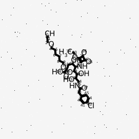 C#CCOCCCCCCO[C@]1(C(=O)O)C[C@H](O)[C@@H](Nc2c(OCC)c(=O)c2=O)[C@H]([C@H](O)[C@H](O)CNC(=O)Cc2ccc(Cl)cc2)O1